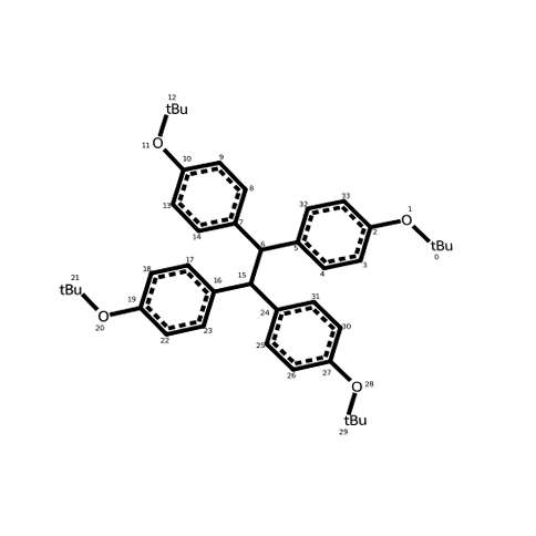 CC(C)(C)Oc1ccc(C(c2ccc(OC(C)(C)C)cc2)C(c2ccc(OC(C)(C)C)cc2)c2ccc(OC(C)(C)C)cc2)cc1